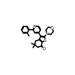 Cc1ccccc1-c1cc(-c2c(N3CCOCC3)sc3c2CC(C)(C)CC3=O)ccn1